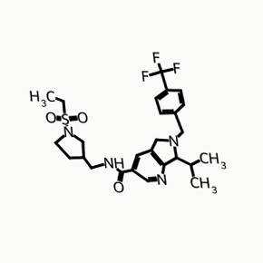 CCS(=O)(=O)N1CCC(CNC(=O)c2cnc3c(c2)CN(Cc2ccc(C(F)(F)F)cc2)C3C(C)C)C1